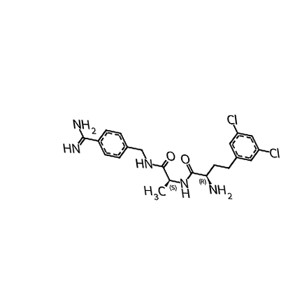 C[C@H](NC(=O)[C@H](N)CCc1cc(Cl)cc(Cl)c1)C(=O)NCc1ccc(C(=N)N)cc1